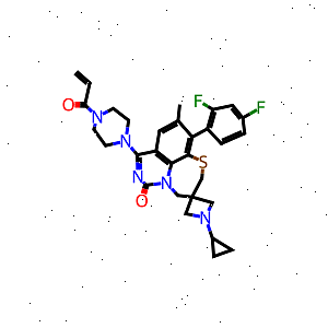 C=CC(=O)N1CCN(c2nc(=O)n3c4c(c(-c5ccc(F)cc5F)c(C)cc24)SCC2(CN(C4CC4)C2)C3)CC1